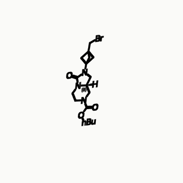 CCCCOC(=O)N1CCN2C(=O)N(C34CC(CBr)(C3)C4)C[C@@H]2C1